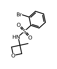 CC1(NS(=O)(=O)c2ccccc2Br)COC1